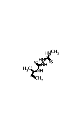 C=CC(C)NC(=S)NNC(=S)NC